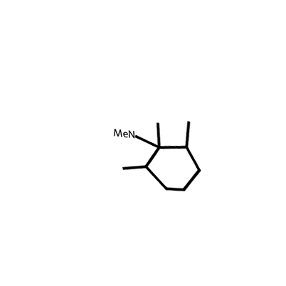 CNC1(C)C(C)CCCC1C